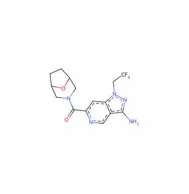 Nc1nn(CC(F)(F)F)c2cc(C(=O)N3CC4CCC(C3)O4)ncc12